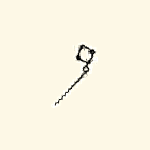 CCCCCCCCCCCCCCCCCCOc1ccc(-c2cc3cc4nc(cc5ccc(cc6nc(cc2[nH]3)C=C6)[nH]5)C=C4)cc1